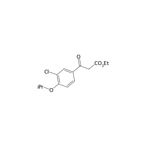 CCOC(=O)CC(=O)c1ccc(OC(C)C)c(Cl)c1